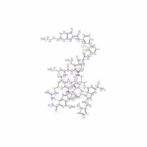 CCn1nc(C)cc1C(=O)Nc1nc2cc(C(N)=O)cc(OC)c2n1C/C=C/Cn1c(NC(=O)c2cc(C)nn2CC)nc2cc(C(N)=O)cc(OCCCNC(=O)[C@H](CCC(=O)O)NC(=O)[C@H](CCC(=O)O)NC(=O)[C@H](CCCNC(=N)N)NC(=O)[C@H](CCC(=O)O)NC(=O)CCCN3CCc4c(nc(C(=O)Nc5cccc(-c6cccc(NC(=O)c7nc8c(n7C)CCN(CCCC(=O)O)C8)c6Cl)c5Cl)n4C)C3)c21